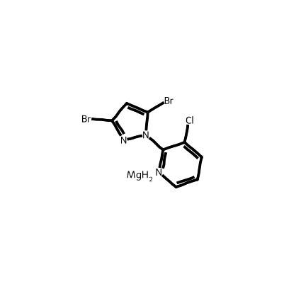 Clc1cccnc1-n1nc(Br)cc1Br.[MgH2]